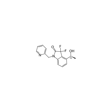 C[C@H](O)c1cccc2c1C(F)(F)C(=O)N2Cc1ccccn1